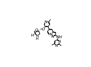 Cc1cc(-c2ccn3nc(Nc4cc(C)nc(C)n4)cc3c2)c(OC[C@@]23CN[C@@H](CO2)C3)cn1